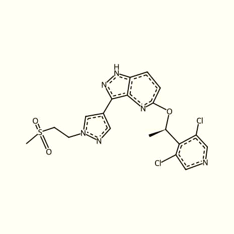 C[C@@H](Oc1ccc2[nH]nc(-c3cnn(CCS(C)(=O)=O)c3)c2n1)c1c(Cl)cncc1Cl